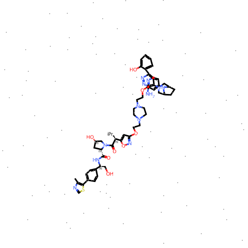 Cc1ncsc1-c1ccc([C@H](CO)NC(=O)[C@@H]2C[C@@H](O)CN2C(=O)[C@H](c2cc(OCCN3CCN(CCOc4cc(N5C6CCC5CN(c5cc(-c7ccccc7O)nnc5N)C6)ccn4)CC3)no2)C(C)C)cc1